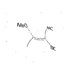 [C-]#[N+]C([N+]#[C-])=C(C)OC